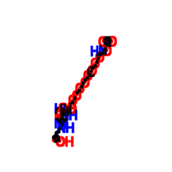 Cc1nc(NCCCc2cccc(O)c2)nc(C)c1C(=O)N[C@@H](CNC(=O)CCOCCOCCOCCOCCOCCOCCOCCOCCNC(=O)CCN1C(=O)C=CC1=O)C(=O)O